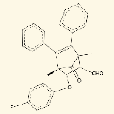 CC12C(=O)[C@@](C)(C(c3ccccc3)=C1c1ccccc1)C(Oc1ccc(F)cc1)C2C=O